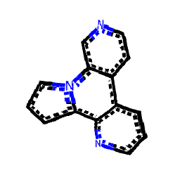 c1cnc2c(c1)c1ccncc1n1cccc21